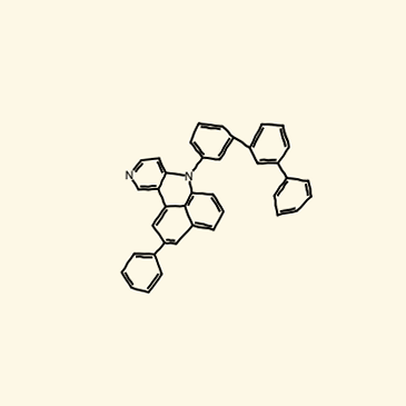 c1ccc(-c2cccc(-c3cccc(N4c5ccncc5-c5cc(-c6ccccc6)cc6cccc4c56)c3)c2)cc1